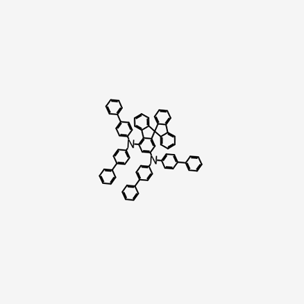 c1ccc(-c2ccc(N(c3ccc(-c4ccccc4)cc3)c3cc(N(c4ccc(-c5ccccc5)cc4)c4ccc(-c5ccccc5)cc4)c4c(c3)C3(c5ccccc5-c5ccccc53)c3ccccc3-4)cc2)cc1